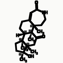 C[C@]12CC(=O)[C@@]3(C)[C@@H](CCC4=CC(=O)NCC[C@@]43C)[C@]1(C)CC[C@]2(C)O